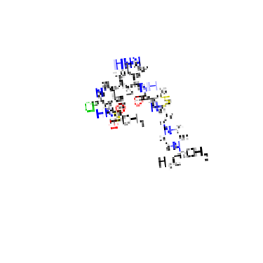 CC(C)N1CCN(CCc2nc(C(=O)Nc3cc(-c4cnc(Cl)c(NS(C)(=O)=O)c4)cc4[nH]ncc34)cs2)CC1